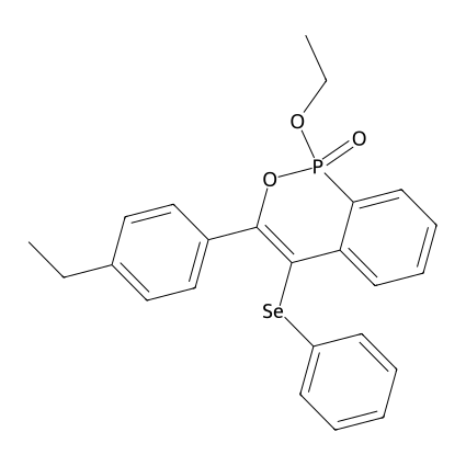 CCOP1(=O)OC(c2ccc(CC)cc2)=C([Se]c2ccccc2)c2ccccc21